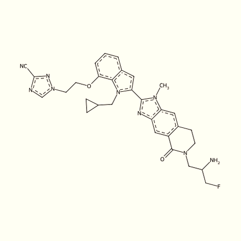 Cn1c(-c2cc3cccc(OCCn4cnc(C#N)n4)c3n2CC2CC2)nc2cc3c(cc21)CCN(CC(N)CF)C3=O